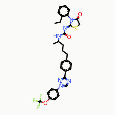 CCc1ccccc1N1C(=O)CS/C1=N\C(=O)NC(C)CCCc1ccc(-c2ncn(-c3ccc(OC(F)(F)F)cc3)n2)cc1